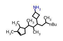 CCCCC(C)CC(C1CC(N)C1)C(C)C(C)C1CC=C(C)C1C